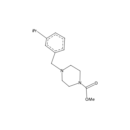 COC(=O)N1CCN(Cc2cccc(C(C)C)c2)CC1